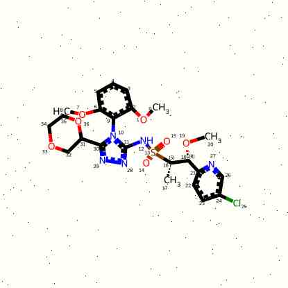 COc1cccc(OC)c1-n1c(NS(=O)(=O)[C@@H](C)[C@H](OC)c2ccc(Cl)cn2)nnc1C1COCCO1